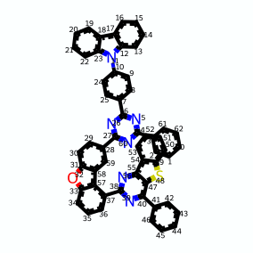 c1ccc(-c2nc(-c3ccc(-n4c5ccccc5c5ccccc54)cc3)nc(-c3ccc4oc5cccc(-c6nc(-c7ccccc7)c7sc8ccccc8c7n6)c5c4c3)n2)cc1